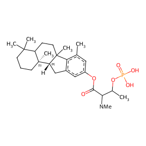 CNC(C(=O)Oc1cc(C)c2c(c1)C[C@H]1C2(C)CCC2C(C)(C)CCC[C@@]21C)C(C)OP(=O)(O)O